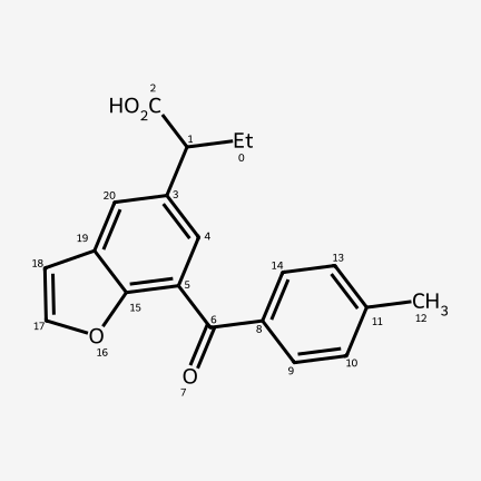 CCC(C(=O)O)c1cc(C(=O)c2ccc(C)cc2)c2occc2c1